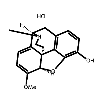 COC1=CC=C2[C@H]3Cc4ccc(O)c5c4[C@@]2(CCN3C)[C@H]1O5.Cl